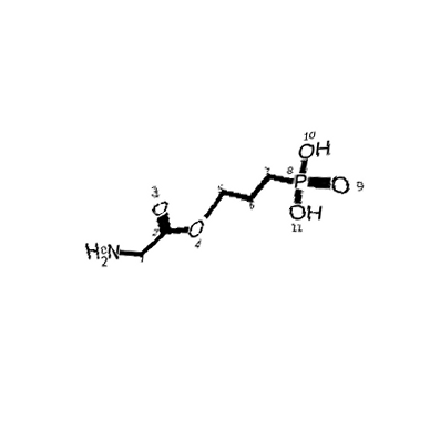 NCC(=O)OCCCP(=O)(O)O